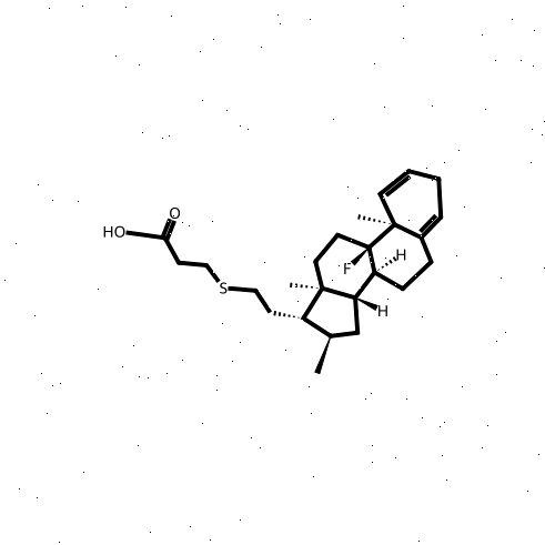 C[C@@H]1C[C@H]2[C@@H]3CCC4=CCC=C[C@]4(C)[C@@]3(F)CC[C@]2(C)[C@H]1CCSCCC(=O)O